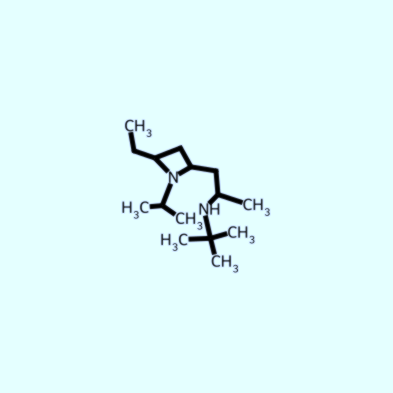 CCC1CC(CC(C)NC(C)(C)C)N1C(C)C